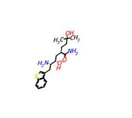 CC(C)(O)CC[C@H](C[C@H](O)[C@@H](N)Cc1csc2ccccc12)C(N)=O